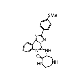 CSc1ccc(-c2nc3c4ccccc4nc(N[C@@H]4CNCCNC4=O)n3n2)cc1